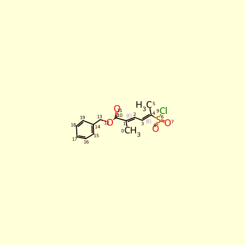 C/C(=C\C=C(/C)S(=O)(=O)Cl)C(=O)OCc1ccccc1